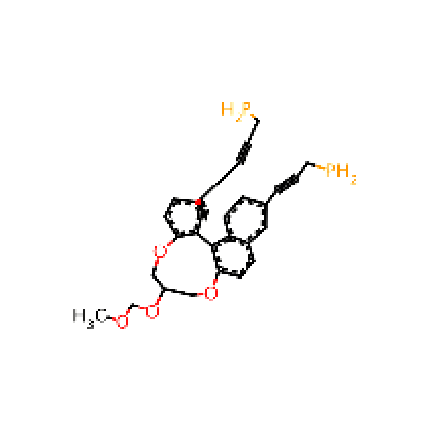 COCOC1COc2ccc3cc(C#CCP)ccc3c2-c2c(ccc3cc(C#CCP)ccc23)OC1